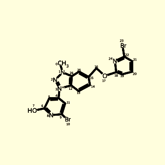 Cn1n[n+](-c2cc(O)nc(Br)c2)c2ccc(COc3cccc(Br)n3)cc21